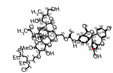 CCN(CC)C[N+](CC)(CCl)CCOC1[C@H](OC)OC(CO)[C@@H](O[C@@H]2OC(COC(=S)Nc3ccc4c(c3)C(=O)OC43c4ccc(O)cc4OC4=CC(=O)C=CC43)[C@@H](O[C@@H]3OC(CO)[C@@H](C)[C@H](O)C3OCCN(C)C(C)Cl)[C@H](O)C2O)[C@@H]1O